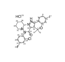 CC1(C)Oc2cc(I)ccc2-c2[nH]nc(C(=O)N(c3ccc(F)cc3Cl)N3CCCCC3)c21.Cl